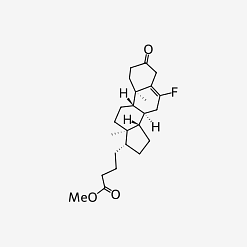 COC(=O)CCC[C@H]1CC[C@H]2[C@@H]3CC(F)=C4CC(=O)CC[C@]4(C)[C@H]3CC[C@]12C